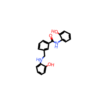 O=C(Nc1ccccc1O)c1cccc(CNc2ccccc2O)c1